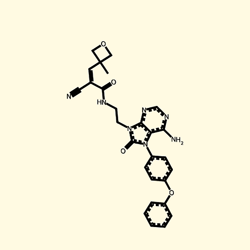 CC1(/C=C(/C#N)C(=O)NCCn2c(=O)n(-c3ccc(Oc4ccccc4)cc3)c3c(N)ncnc32)COC1